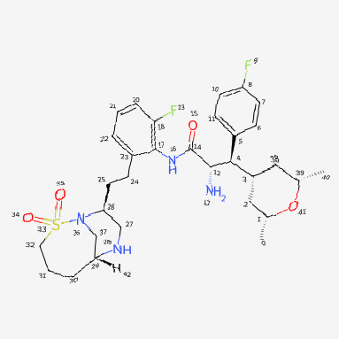 C[C@@H]1C[C@H]([C@H](c2ccc(F)cc2)[C@H](N)C(=O)Nc2c(F)cccc2CC[C@H]2CN[C@@H]3CCCS(=O)(=O)N2C3)C[C@H](C)O1